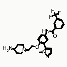 Cn1nccc1-c1cc(NC(=O)c2cccc(C(F)(F)F)c2)ccc1OCCN1CCC(N)CC1